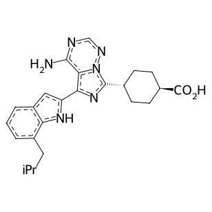 CC(C)Cc1cccc2cc(-c3nc([C@H]4CC[C@H](C(=O)O)CC4)n4ncnc(N)c34)[nH]c12